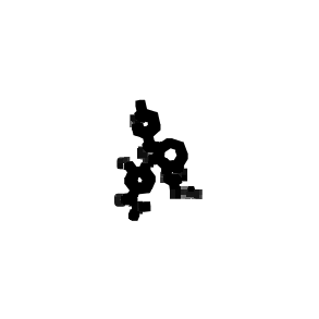 CC(=O)Nc1nc2c(s1)-c1c(c(-c3ccc(C)nc3)nn1-c1ccc(C(=O)N(C)C)cc1Cl)CCC2